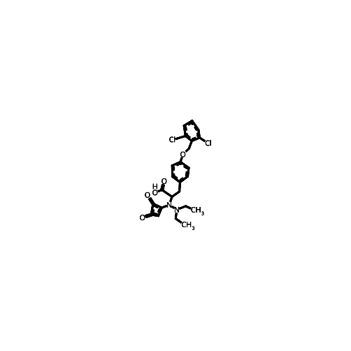 CCN(CC)N(c1cc(=O)c1=O)C(Cc1ccc(OCc2c(Cl)cccc2Cl)cc1)C(=O)O